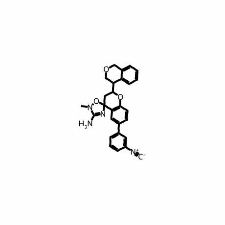 [C-]#[N+]c1cccc(-c2ccc3c(c2)C2(CC(C4COCc5ccccc54)O3)N=C(N)N(C)O2)c1